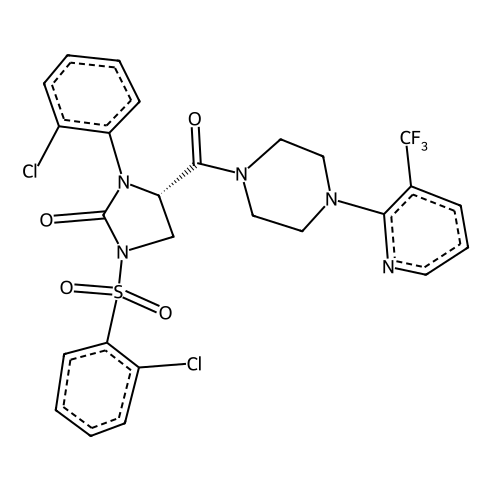 O=C([C@@H]1CN(S(=O)(=O)c2ccccc2Cl)C(=O)N1c1ccccc1Cl)N1CCN(c2ncccc2C(F)(F)F)CC1